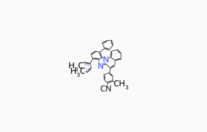 C/C=C\C(=C/C)c1ccc(-c2ccccc2)c2c1nc1c(-c3ccc(C#N)c(C)c3)cc3ccccc3n12